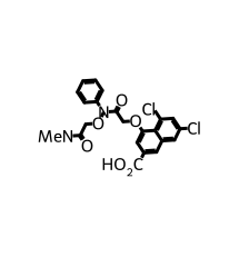 CNC(=O)CON(C(=O)COc1cc(C(=O)O)cc2cc(Cl)cc(Cl)c12)c1ccccc1